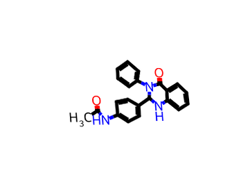 CC(=O)Nc1ccc(C2Nc3ccccc3C(=O)N2c2ccccc2)cc1